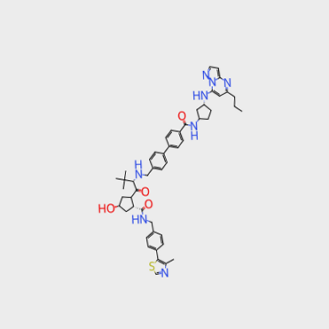 CCCc1cc(N[C@@H]2CCC(NC(=O)c3ccc(-c4ccc(CN[C@H](C(=O)C5C[C@H](O)C[C@H]5C(=O)NCc5ccc(-c6scnc6C)cc5)C(C)(C)C)cc4)cc3)C2)n2nccc2n1